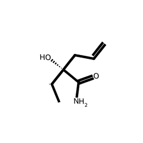 C=CC[C@](O)([CH]C)C(N)=O